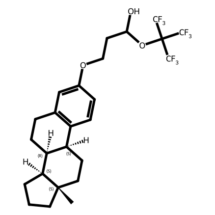 C[C@@]12CCC[C@H]1[C@H]1CCc3cc(OCCC(O)OC(C(F)(F)F)(C(F)(F)F)C(F)(F)F)ccc3[C@H]1CC2